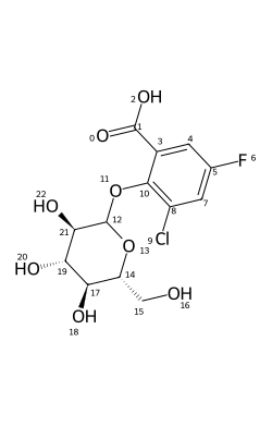 O=C(O)c1cc(F)cc(Cl)c1OC1O[C@H](CO)[C@@H](O)[C@H](O)[C@H]1O